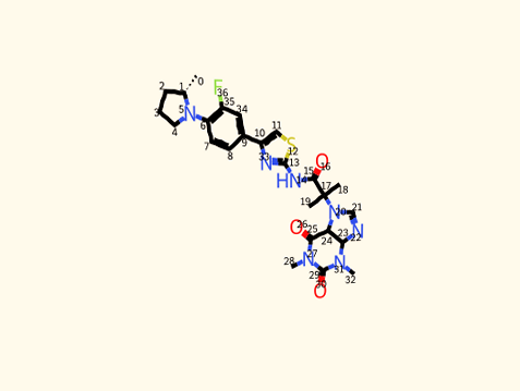 C[C@H]1CCCN1c1ccc(-c2csc(NC(=O)C(C)(C)N3C=NC4C3C(=O)N(C)C(=O)N4C)n2)cc1F